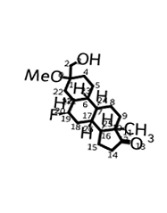 COC1(CO)CC[C@@H]2[C@H]3CC[C@]4(C)C(=O)CC[C@H]4[C@@H]3C[C@@H](F)[C@H]2C1